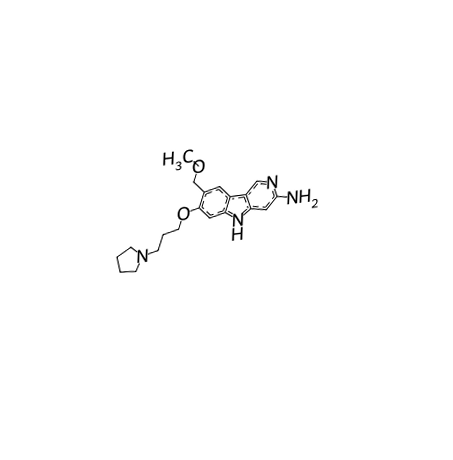 COCc1cc2c(cc1OCCCN1CCCC1)[nH]c1cc(N)ncc12